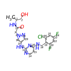 CC(CO)NC(=O)Cn1cc(Nc2nccc(NCc3c(F)cc(F)cc3Cl)n2)cn1